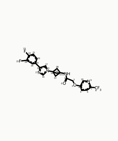 O=C(COc1ccc(C(F)(F)F)nc1)NC12CC(n3cnc(-c4ccc(F)c(F)c4)c3)(C1)C2